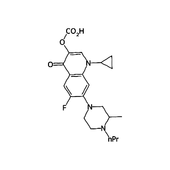 CCCN1CCN(c2cc3c(cc2F)c(=O)c(OC(=O)O)cn3C2CC2)CC1C